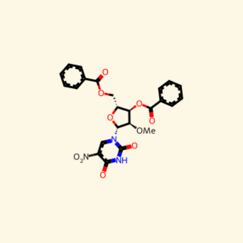 CO[C@@H]1[C@H](OC(=O)c2ccccc2)[C@@H](COC(=O)c2ccccc2)O[C@H]1n1cc([N+](=O)[O-])c(=O)[nH]c1=O